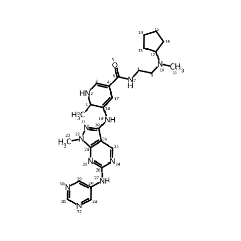 CC1NC=C(C(=O)NCCN(C)C2CCCC2)C=C1Nc1nn(C)c2nc(Nc3cncnc3)ncc12